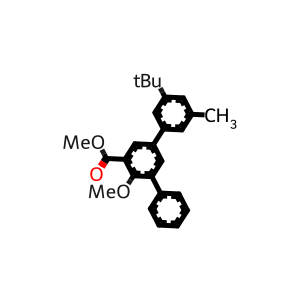 COC(=O)c1cc(-c2cc(C)cc(C(C)(C)C)c2)cc(-c2ccccc2)c1OC